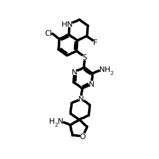 Nc1nc(N2CCC3(CC2)COCC3N)cnc1Sc1ccc(Cl)c2c1C(F)CCN2